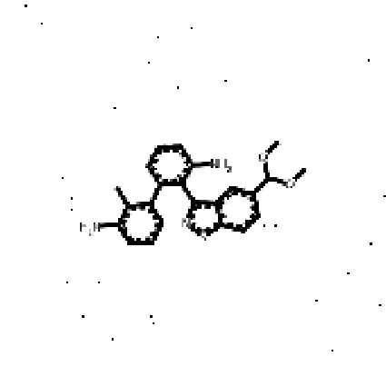 COC(OC)c1ccc2snc(-c3c(N)cccc3-c3cccc(N)c3C)c2c1